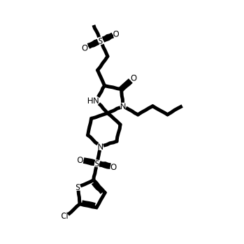 CCCCN1C(=O)C(CCS(C)(=O)=O)NC12CCN(S(=O)(=O)c1ccc(Cl)s1)CC2